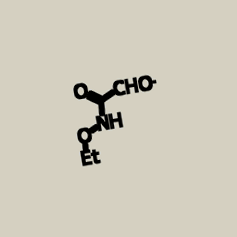 CCONC(=O)[C]=O